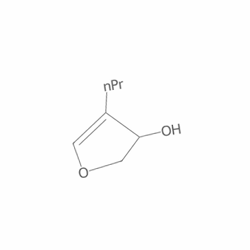 CCCC1=COCC1O